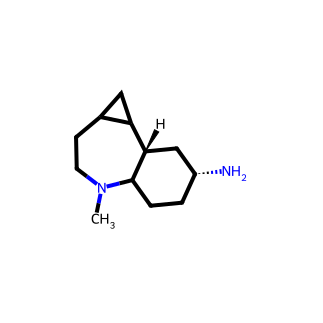 CN1CCC2CC2[C@@H]2C[C@H](N)CCC21